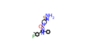 Cc1cc(-c2cn(CC(=O)N3CCc4nc(N)sc4CC3)c(-c3ccccc3)n2)ccc1F